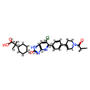 CC(C)C(=O)N1CC=C(c2ccc(-c3nc4nc(O[C@H]5CC[C@H](C(C)(C)C(=O)O)CC5)[nH]c4cc3Cl)cc2)CC1